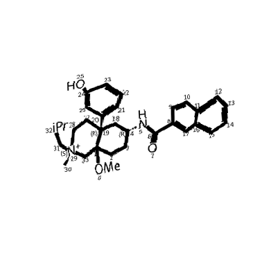 COC12CC[C@@H](NC(=O)c3ccc4ccccc4c3)C[C@@]1(c1cccc(O)c1)CC[N@@+](C)(CC(C)C)C2